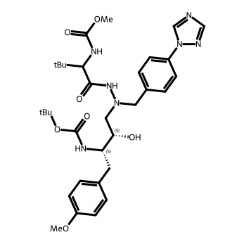 COC(=O)NC(C(=O)NN(Cc1ccc(-n2cncn2)cc1)C[C@H](O)[C@H](Cc1ccc(OC)cc1)NC(=O)OC(C)(C)C)C(C)(C)C